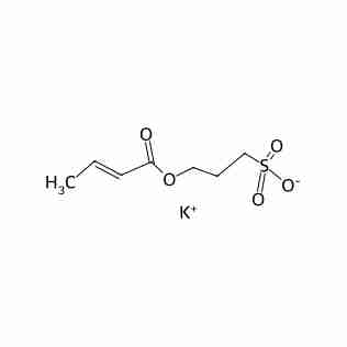 CC=CC(=O)OCCCS(=O)(=O)[O-].[K+]